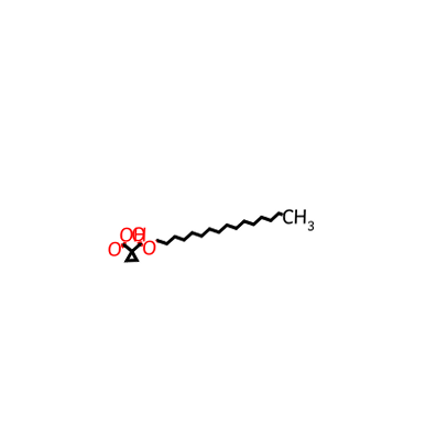 CCCCCCCCCCCCCCCCOC(=O)C1(C(=O)O)CC1